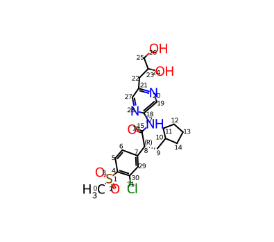 CS(=O)(=O)c1ccc([C@@H](CC2CCCC2)C(=O)Nc2cnc(CC(O)CO)cn2)cc1Cl